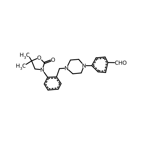 CC1(C)CN(c2ccccc2CN2CCN(c3ccc(C=O)cc3)CC2)C(=O)O1